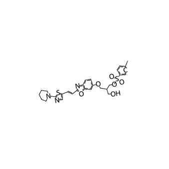 Cc1ccc(S(=O)(=O)OCC(CO)COc2ccc3nc(/C=C/c4cnc(N5CCCCC5)s4)oc3c2)cc1